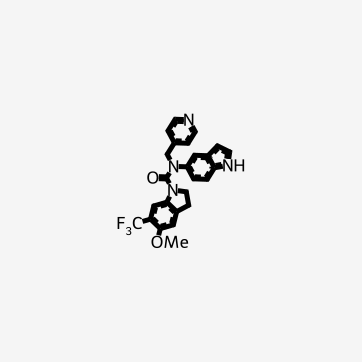 COc1cc2c(cc1C(F)(F)F)N(C(=O)N(Cc1ccncc1)c1ccc3[nH]ccc3c1)CC2